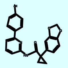 CC(=O)c1ccc(-c2cccc(NC(=O)C3(c4ccc5c(c4)OCO5)CC3)n2)cc1